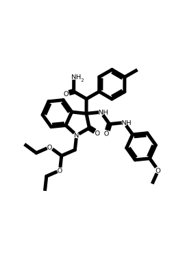 CCOC(CN1C(=O)C(NC(=O)Nc2ccc(OC)cc2)(C(C(N)=O)c2ccc(C)cc2)c2ccccc21)OCC